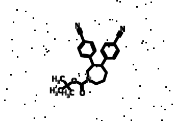 CC(C)(C)OC(=O)N1CCCC(c2ccc(C#N)cc2)C(c2ccc(C#N)cc2)C1